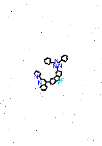 FC1(F)c2ccc(-c3nc(-c4ccccc4)nc(-c4ccccc4)n3)cc2-c2cc(-c3cc(-c4ccccn4)nc4ccccc34)ccc21